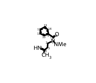 CNN(CCC(C)=N)C(=O)c1ccccc1